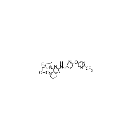 CC1CC(F)(F)CN1c1nc(NCc2ccc(Oc3cnc(C(F)(F)F)nc3)nc2)nc2c1N(C=O)CCC2